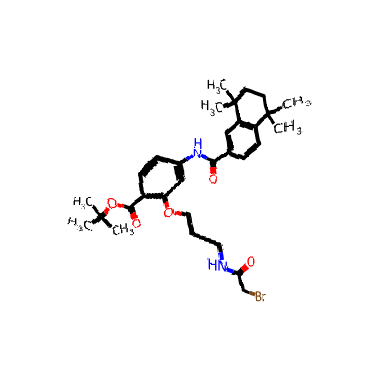 CC(C)(C)OC(=O)c1ccc(NC(=O)c2ccc3c(c2)C(C)(C)CCC3(C)C)cc1OCCCNC(=O)CBr